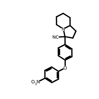 N#CC1(c2ccc(Oc3ccc([N+](=O)[O-])cc3)cc2)CCC2CCCCN21